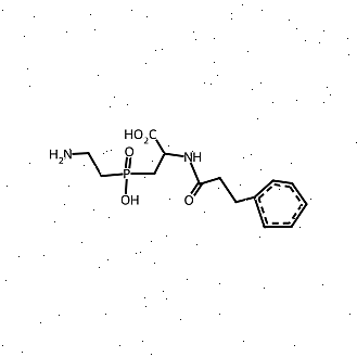 NCCP(=O)(O)CC(NC(=O)CCc1ccccc1)C(=O)O